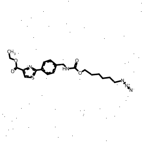 CCOC(=O)c1csc(-c2ccc(CNC(=O)OCCCCCCN=[N+]=[N-])cc2)n1